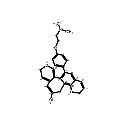 CN(C)CCOc1ccc(-c2cc3c(c4c2C2=COCC=C2C=C(O)C4)OCC=C3)cc1